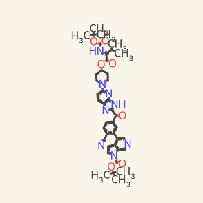 CC(C)[C@H](NC(=O)OC(C)(C)C)C(=O)OC1CCN(c2ccc3nc(C(=O)c4ccc(C#N)c(-c5cncc6c5ccn6C(=O)OC(C)(C)C)c4)[nH]c3n2)CC1